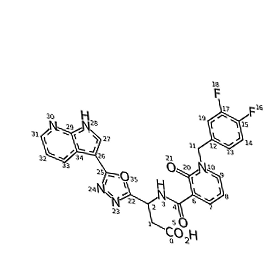 O=C(O)CC(NC(=O)c1cccn(Cc2ccc(F)c(F)c2)c1=O)c1nnc(-c2c[nH]c3ncccc23)o1